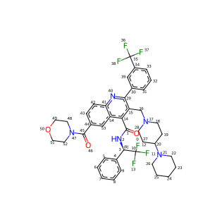 O=C(N[C@H](c1ccccc1)C(F)(F)F)c1c(CN2CCC(N3CCCCC3)CC2)c(-c2cccc(C(F)(F)F)c2)nc2ccc(C(=O)N3CCOCC3)cc12